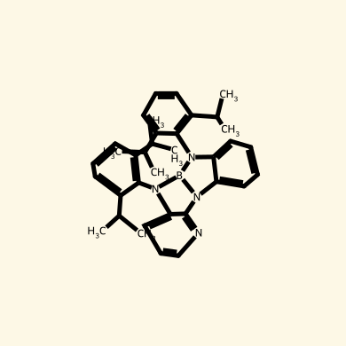 CC(C)c1cccc(C(C)C)c1N1B2N(c3ccccc31)c1ncccc1N2c1c(C(C)C)cccc1C(C)C